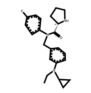 CCN(c1cccc(CN(C(=O)[C@@H]2CCCN2)c2ccc(F)cc2)c1)C1CC1